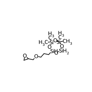 C[Si]1(C)O[SiH2]O[SiH](CCCOCC2CO2)O[Si](C)(C)O1